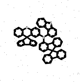 c1ccc2c(c1)Sc1ccc(N(c3cccc4c3-c3ccccc3C43c4ccccc4-c4ccccc43)c3cccc4sc5ccccc5c34)cc1C21c2ccccc2-c2ccccc21